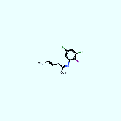 O=C(O)C=CCC(=Nc1cc(Cl)cc(Cl)c1I)C(=O)O